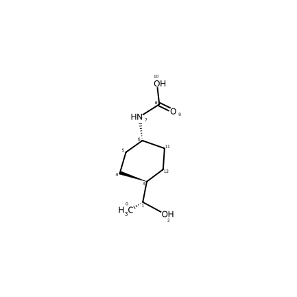 C[C@@H](O)[C@H]1CC[C@H](NC(=O)O)CC1